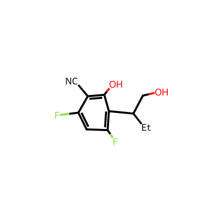 CCC(CO)c1c(F)cc(F)c(C#N)c1O